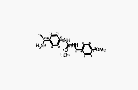 COc1ccc(CNC(=O)Nc2ccc([C@H](C)N)cc2)cc1.Cl